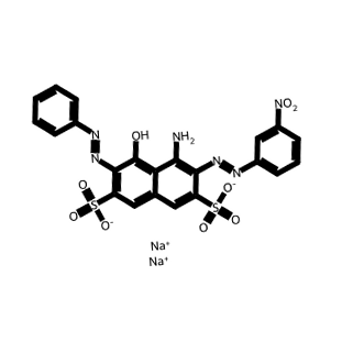 Nc1c(N=Nc2cccc([N+](=O)[O-])c2)c(S(=O)(=O)[O-])cc2cc(S(=O)(=O)[O-])c(N=Nc3ccccc3)c(O)c12.[Na+].[Na+]